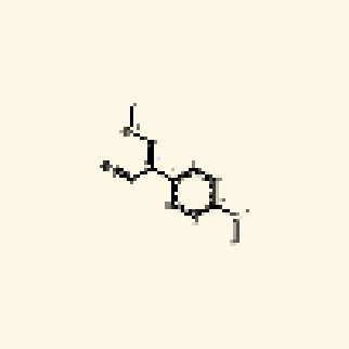 CN/C=C(\C=N)c1ccc(OC)cc1